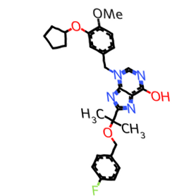 COc1ccc(Cn2cnc(O)c3nc(C(C)(C)OCc4ccc(F)cc4)nc2-3)cc1OC1CCCC1